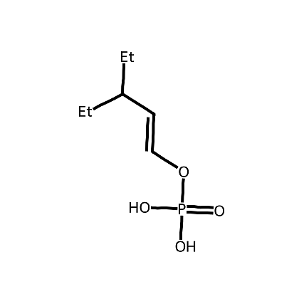 CCC(C=COP(=O)(O)O)CC